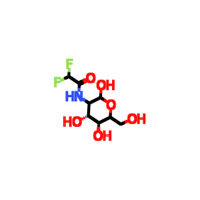 O=C(NC1C(O)OC(CO)[C@@H](O)[C@@H]1O)C(F)F